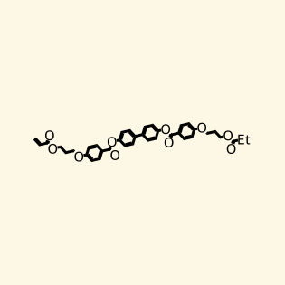 C=CC(=O)OCCCOc1ccc(C(=O)Oc2ccc(-c3ccc(OC(=O)c4ccc(OCCCOC(=O)CC)cc4)cc3)cc2)cc1